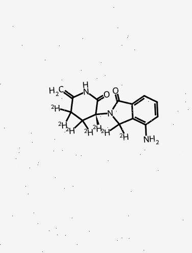 [2H]C1([2H])c2c(N)cccc2C(=O)N1[C@@]1([2H])C(=O)NC(=C)C([2H])([2H])C1([2H])[2H]